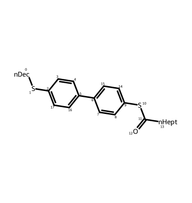 CCCCCCCCCCSc1ccc(-c2ccc(SC(=O)CCCCCCC)cc2)cc1